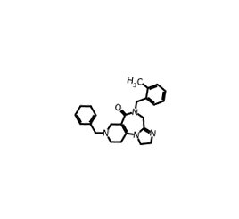 Cc1ccccc1CN1CC2=NCCN2C2=C(CN(CC3=CCCC=C3)CC2)C1=O